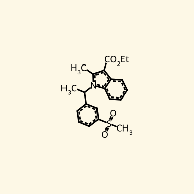 CCOC(=O)c1c(C)n(C(C)c2cccc(S(C)(=O)=O)c2)c2ccccc12